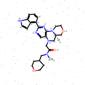 CN(CC1CCOCC1)C(=O)CN1C[C@@H]2COCCN2c2nc(-c3cccc4[nH]ccc34)ncc21